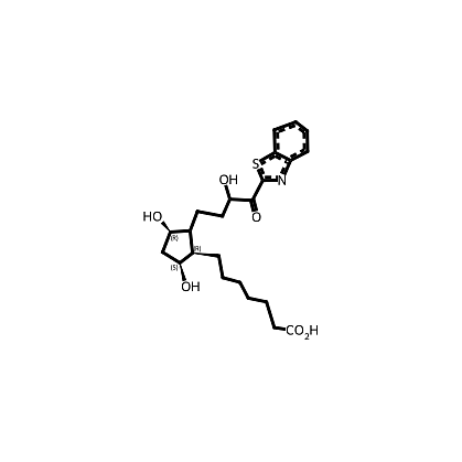 O=C(O)CCCCCC[C@@H]1C(CCC(O)C(=O)c2nc3ccccc3s2)[C@H](O)C[C@@H]1O